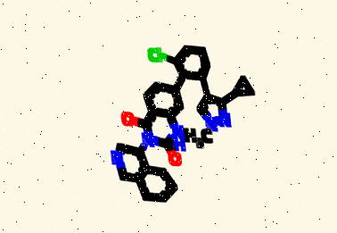 Cn1cc(-c2cccc(Cl)c2-c2ccc3c(=O)n(-c4cncc5ccccc45)c(=O)[nH]c3c2)c(C2CC2)n1